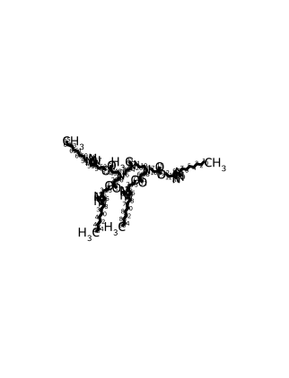 CCCCCCCCn1cc(CCOC(=O)CCN(CCCN(C)CCCN(CCC(=O)OCCc2cn(CCCCCCCC)nn2)CCC(=O)OCCc2cn(CCCCCCCC)nn2)CCC(=O)OCCc2cn(CCCCCCCC)nn2)nn1